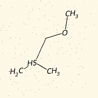 [CH2][SH](C)COC